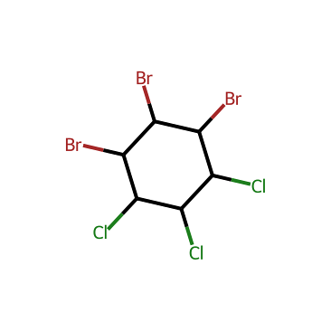 ClC1C(Cl)C(Br)C(Br)C(Br)C1Cl